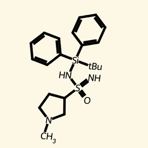 CN1CCC(S(=N)(=O)N[Si](c2ccccc2)(c2ccccc2)C(C)(C)C)C1